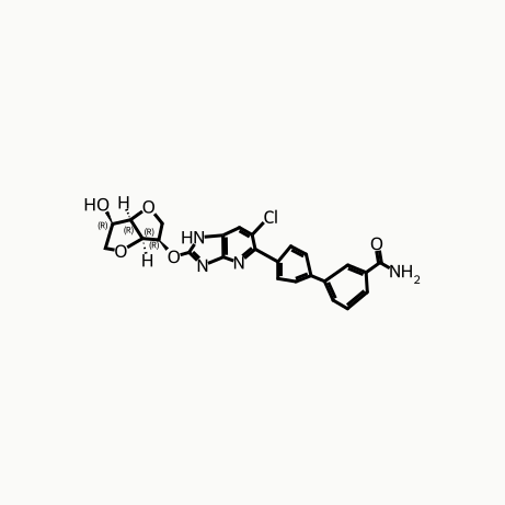 NC(=O)c1cccc(-c2ccc(-c3nc4nc(O[C@@H]5CO[C@H]6[C@@H]5OC[C@H]6O)[nH]c4cc3Cl)cc2)c1